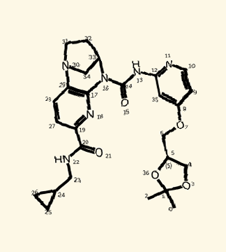 CC1(C)OC[C@H](COc2ccnc(NC(=O)N3c4nc(C(=O)NCC5CC5)ccc4N4CCC3C4)c2)O1